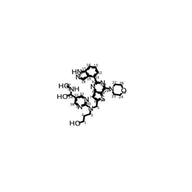 OCCCN(Cc1cc2nc(-c3cccc4[nH]ncc34)nc(N3CCOCC3)c2s1)c1ncc(C(O)NO)cn1